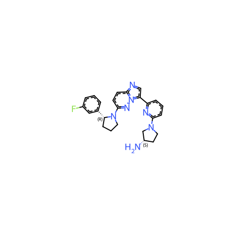 N[C@H]1CCN(c2cccc(-c3cnc4ccc(N5CCC[C@@H]5c5cccc(F)c5)nn34)n2)C1